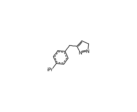 CC(C)c1ccc(CC2=CCN=N2)cc1